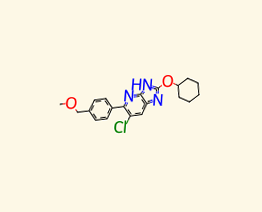 COCc1ccc(-c2nc3[nH]c(OC4CCCCC4)nc3cc2Cl)cc1